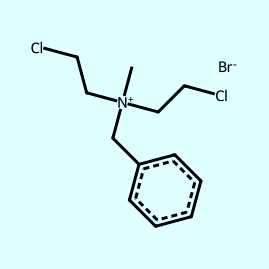 C[N+](CCCl)(CCCl)Cc1ccccc1.[Br-]